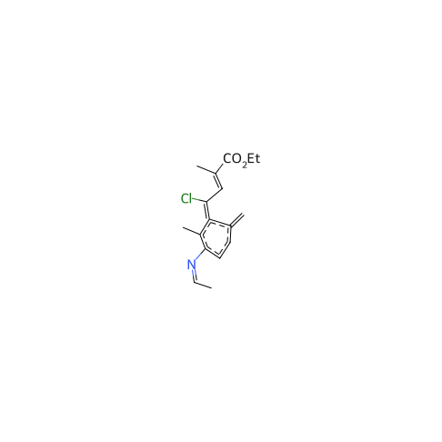 C=c1ccc(/N=C\C)c(C)/c1=C(Cl)/C=C(\C)C(=O)OCC